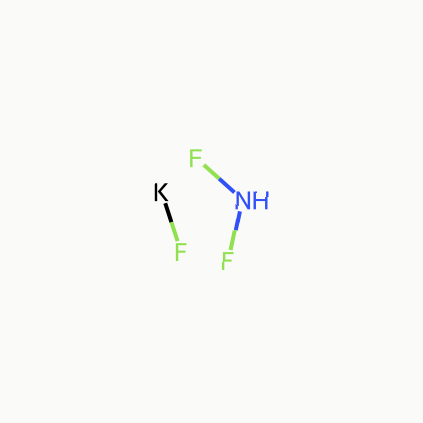 FNF.[F][K]